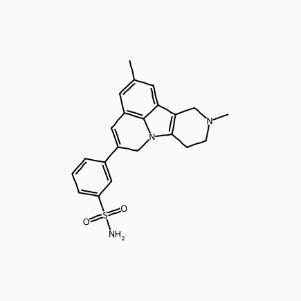 Cc1cc2c3c(c1)c1c(n3CC(c3cccc(S(N)(=O)=O)c3)=C2)CCN(C)C1